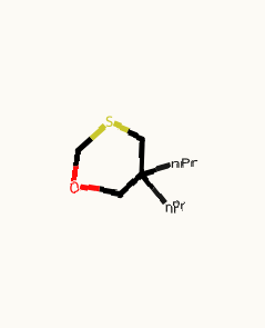 CCCC1(CCC)COCSC1